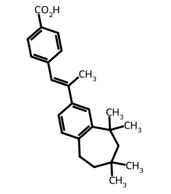 CC(=Cc1ccc(C(=O)O)cc1)c1ccc2c(c1)C(C)(C)CC(C)(C)CC2